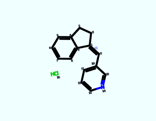 C(=C1\CCc2ccccc21)/c1cccnc1.Cl